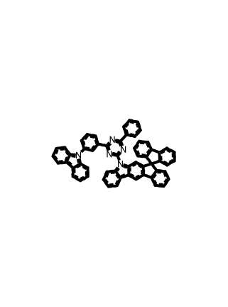 c1ccc(-c2nc(-c3cccc(-n4c5ccccc5c5ccccc54)c3)nc(-n3c4ccccc4c4cc5c(cc43)C3(c4ccccc4-c4ccccc43)c3ccccc3-5)n2)cc1